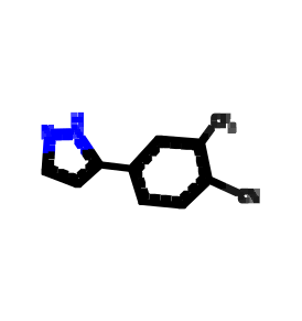 N#Cc1ccc(-c2ccn[nH]2)cc1C(F)(F)F